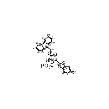 O=C(NC(Cc1nc2ccc(Br)cc2s1)C(=O)O)OCC1c2ccccc2-c2ccccc21